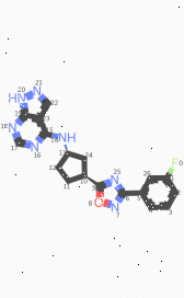 Fc1cccc(-c2noc([C@H]3CC[C@H](Nc4ncnc5[nH]ncc45)C3)n2)c1